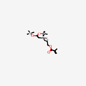 C=C(C)C(=O)OCCC[SiH2]CC(O[Si](C)(C)C)O[Si](C)(C)C